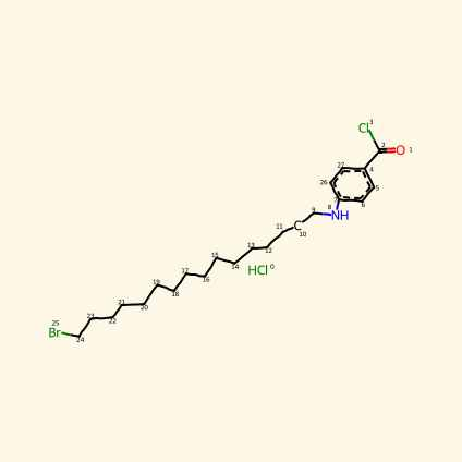 Cl.O=C(Cl)c1ccc(NCCCCCCCCCCCCCCCCBr)cc1